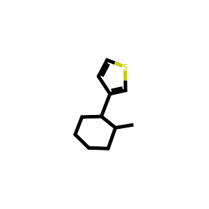 CC1CCCCC1c1ccsc1